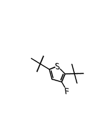 CC(C)(C)c1cc(F)c(C(C)(C)C)s1